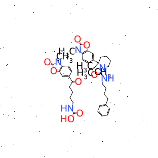 Cn1c(=O)oc2cc(C(=O)CCCCNC(=O)O)ccc21.Cn1c(=O)oc2cc(C3(C(C)(C)C)CCCCN3C(=O)NCCCCc3ccccc3)ccc21